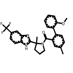 COc1ccccc1-c1ccc(C)cc1C(=O)N1CCCC1(C)c1nc2cc(C(F)(F)F)ccc2[nH]1